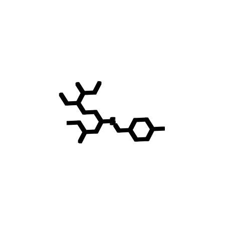 CCC(C)CC(CCC(CC)C(C)CC)SCC1CCC(C)CC1